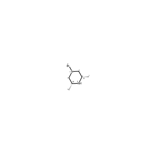 C[C@@H]1CN(Br)C[C@H](C)N1